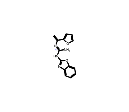 C=C(/N=C(\N)Nc1nc2ccccc2o1)c1ccco1